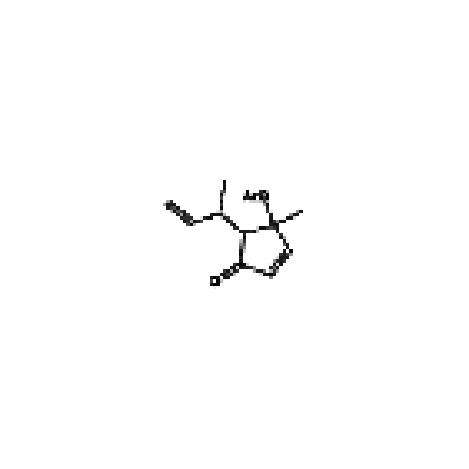 C=CC(C)C1C(=O)C=CC1(C)OC(C)=O